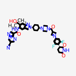 CC(C)(O)c1cc2nn([C@H]3CC[C@H](N4CCN(C(=O)C5CN(c6cc(F)c([C@H]7CCC(=O)NC7=O)c(F)c6)C5)CC4)CC3)cc2cc1NC(=O)c1cnn2cc(C#N)cnc12